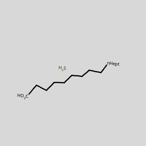 CCCCCCCCCCCCCCCC(=O)O.S